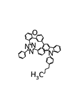 CCCCc1ccc(-n2c3ccccc3c3cc(-c4ccc5oc6cccc(-c7nc(-c8ccccc8)nc(-c8ccccc8)n7)c6c5c4)ccc32)cc1